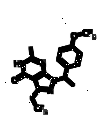 Cc1nc2c(c(CC(F)(F)F)nn2C(C)c2ccc(OC(F)(F)F)cc2)c(=O)[nH]1